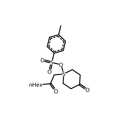 CCCCCCC(=O)CS1(OS(=O)(=O)c2ccc(C)cc2)CCC(=O)CC1